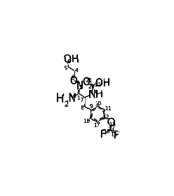 N/C(=N\OCCO)[C@H](Cc1ccc(OC(F)F)cc1)NC(=O)O